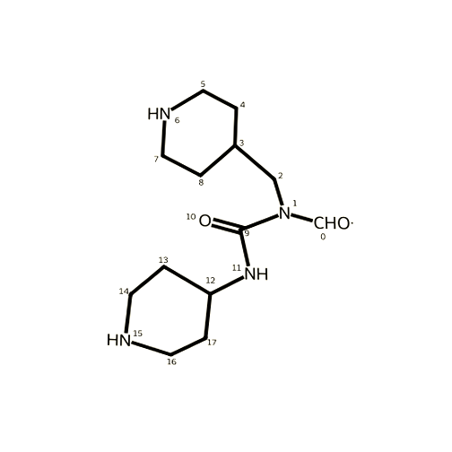 O=[C]N(CC1CCNCC1)C(=O)NC1CCNCC1